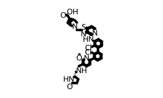 COc1nc(-c2cccc(-c3cccc(Nc4nccc5sc(CN6CC7CC6CC7C(=O)O)nc45)c3Cl)c2Cl)ccc1CNC[C@@H]1CCC(=O)N1